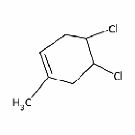 CC1=CCC(Cl)C(Cl)C1